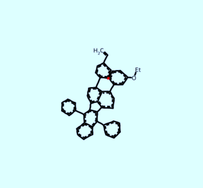 C=Cc1ccc(-c2ccc3c4c(ccc(-c5cccc(OCC)c5)c24)-c2c-3c(-c3ccccc3)c3ccccc3c2-c2ccccc2)cc1